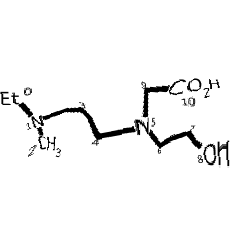 CCN(C)CCN(CCO)CC(=O)O